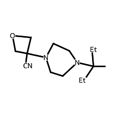 CCC(C)(CC)N1CCN(C2(C#N)COC2)CC1